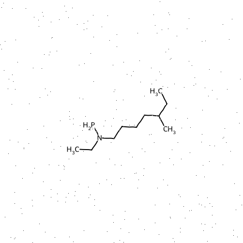 CCC(C)CCCCN(P)CC